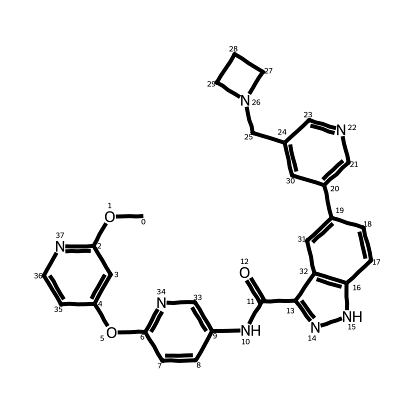 COc1cc(Oc2ccc(NC(=O)c3n[nH]c4ccc(-c5cncc(CN6CCC6)c5)cc34)cn2)ccn1